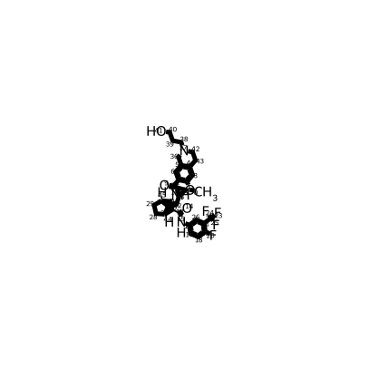 COc1cc2c(cc1C(=O)N[C@H]1[C@@H](C(=O)Nc3ccc(F)c(C(F)(F)F)c3)[C@H]3CC[C@@H]1C3=CC1CC1)CN(CCCO)CC2